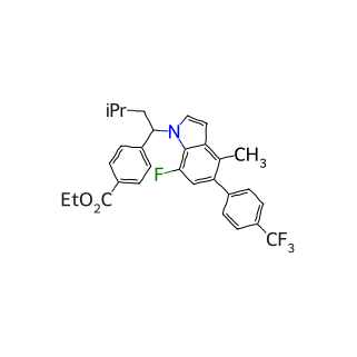 CCOC(=O)c1ccc(C(CC(C)C)n2ccc3c(C)c(-c4ccc(C(F)(F)F)cc4)cc(F)c32)cc1